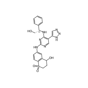 O=S1(=O)CCC(O)c2cc(Nc3ncc(-c4cnn[nH]4)c(N[C@H](CO)c4ccccc4)n3)ccc21